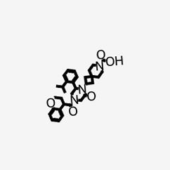 CC(C)c1ccccc1C1CN(C(=O)C2CCOc3ccccc32)CC(=O)N1C1CC2(CCN(C(=O)O)CC2)C1